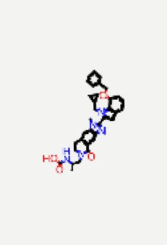 C[C@H](CN1CCc2cc3c(cc2C1=O)nc(-c1cc2cccc(OCc4ccccc4)c2n1CC1CC1)n3C)NC(=O)O